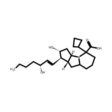 CCCC[C@@H](O)/C=C/[C@@H]1[C@H]2CC3CCCC(C(=O)O)(C4CCC4)N3[C@@H]2C[C@H]1O